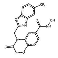 O=C(NO)c1ccc2c(c1)N(Cc1nc3cc(C(F)(F)F)ccc3o1)C(=O)CO2